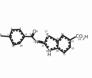 Cc1ccc(C(=O)/N=c2/[nH]c3ccc(C(=O)O)cc3s2)cc1